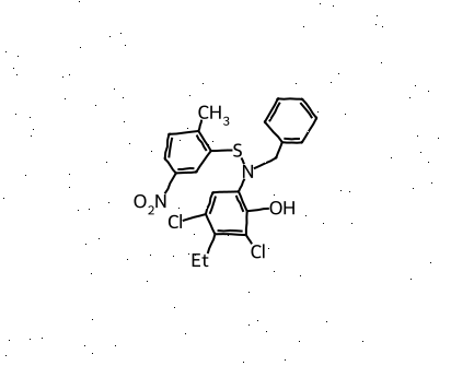 CCc1c(Cl)cc(N(Cc2ccccc2)Sc2cc([N+](=O)[O-])ccc2C)c(O)c1Cl